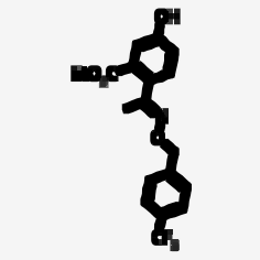 CCOC(=O)c1cc(O)ccc1/C(C)=N/OCc1ccc(C(F)(F)F)cc1